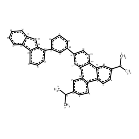 CC(C)c1ccc2c3ccc(C(C)C)cc3c3nc(-c4cccc(-c5cccc6c5sc5ccccc56)c4)cnc3c2c1